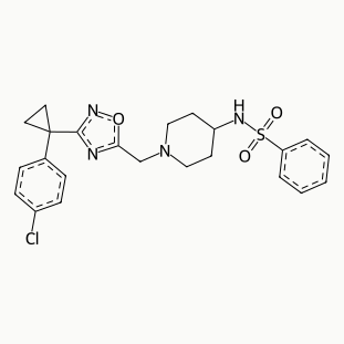 O=S(=O)(NC1CCN(Cc2nc(C3(c4ccc(Cl)cc4)CC3)no2)CC1)c1ccccc1